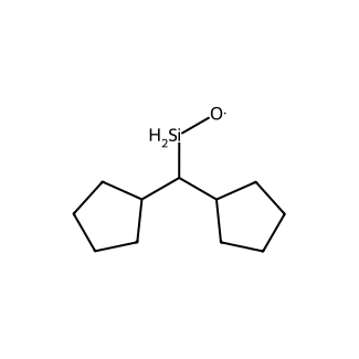 [O][SiH2]C(C1CCCC1)C1CCCC1